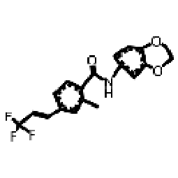 Cc1cc(/C=C/C(F)(F)F)ccc1C(=O)Nc1ccc2c(c1)OCCO2